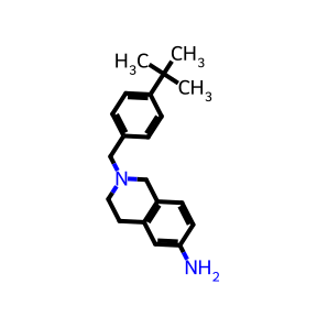 CC(C)(C)c1ccc(CN2CCc3cc(N)ccc3C2)cc1